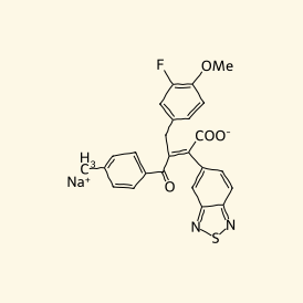 COc1ccc(CC(C(=O)c2ccc(C)cc2)=C(C(=O)[O-])c2ccc3nsnc3c2)cc1F.[Na+]